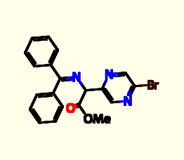 COC(=O)C(N=C(c1ccccc1)c1ccccc1)c1cnc(Br)cn1